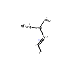 C/C=N/C(CCCC)CCCCC